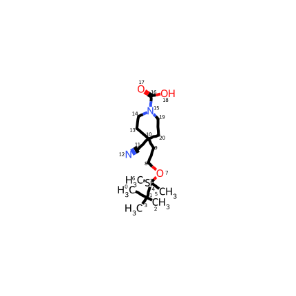 CC(C)(C)[Si](C)(C)OCCC1(C#N)CCN(C(=O)O)CC1